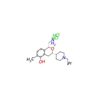 Cc1ccc2c(c1O)C[C@@H](C1CCN(CC(C)C)CC1)O[C@H]2CN.Cl.Cl